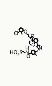 Cc1cc(C(=O)NCCS(=O)(=O)O)ccc1Cn1cc(-c2cccc3c2OCCCN3C(=O)CCCOc2cccc(Cl)c2C)cn1